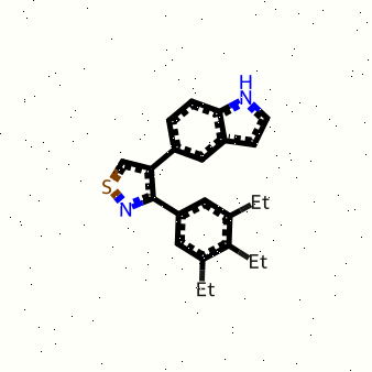 CCc1cc(-c2nscc2-c2ccc3[nH]ccc3c2)cc(CC)c1CC